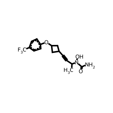 CC(C#CC1CC(Oc2ccc(C(F)(F)F)cc2)C1)N(O)C(N)=O